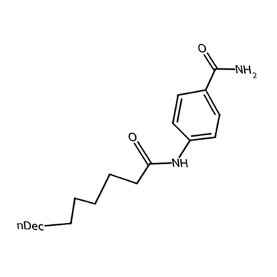 CCCCCCCCCCCCCCCC(=O)Nc1ccc(C(N)=O)cc1